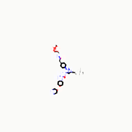 CC1(C)OCC(CNC(=O)Cc2ccc(-n3nc(C(C)(C)C)cc3NC(=O)Nc3ccc(Oc4ccncc4)cc3)cc2)O1